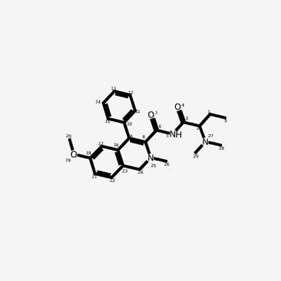 CCC(C(=O)NC(=O)C1=C(c2ccccc2)c2cc(OC)ccc2CN1C)N(C)C